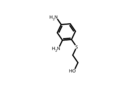 Nc1ccc(SCCO)c(N)c1